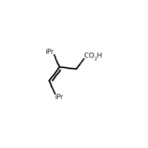 CC(C)/C=C(\CC(=O)O)C(C)C